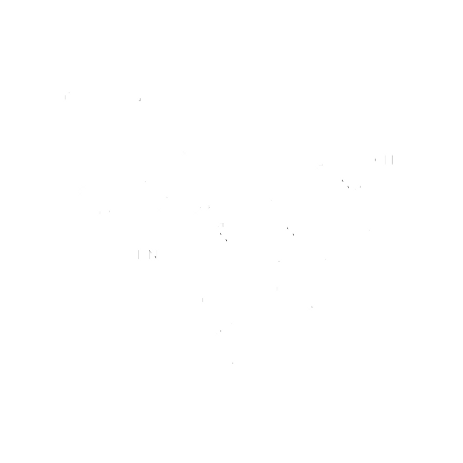 Cc1c(Cl)cccc1S(=O)(=O)Nc1cc2ccccc2c(N2CCN(C)CC2)n1